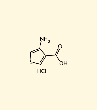 Cl.Nc1cscc1C(=O)O